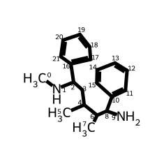 CNC(CC(C)C(C)C(N)c1ccccc1)c1ccccc1